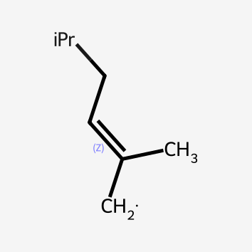 [CH2]/C(C)=C/CC([CH2])C